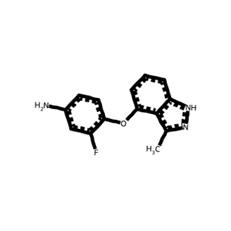 Cc1n[nH]c2cccc(Oc3ccc(N)cc3F)c12